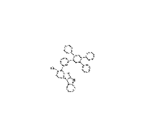 CC(C)(C)c1ccc2c(oc3nc4ncccc4n32)c1-c1cccc(-c2cc(-c3ccccc3)c(-c3ccccc3)cc2-c2ccccc2)c1